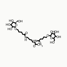 CC(=O)[C@@H](CCCCNC(=O)CCCCOC1O[C@H](CO)C(O)C(O)C1O)NC(=O)CCCCOC1OC(CO)C(O)C(O)C1O